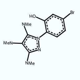 CNc1nn(-c2ccc(Br)cc2O)c(NC)c1NC